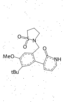 COc1cc(CN2CCCS2(=O)=O)c(-c2ccc[nH]c2=O)cc1C(C)(C)C